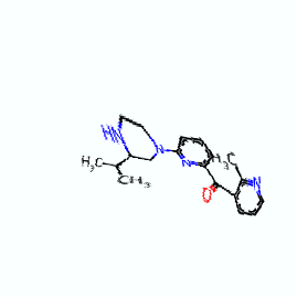 Cc1ncccc1C(=O)c1cccc(N2CCN[C@H](C(C)C)C2)n1